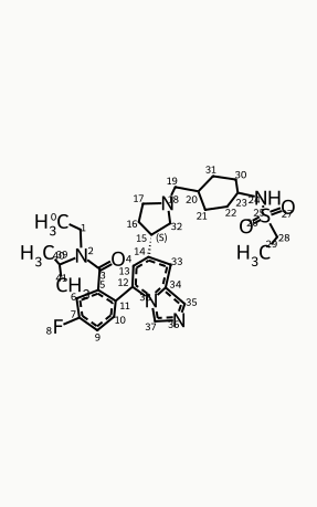 CCN(C(=O)c1cc(F)ccc1-c1cc([C@@H]2CCN(CC3CCC(NS(=O)(=O)CC)CC3)C2)cc2cncn12)C(C)C